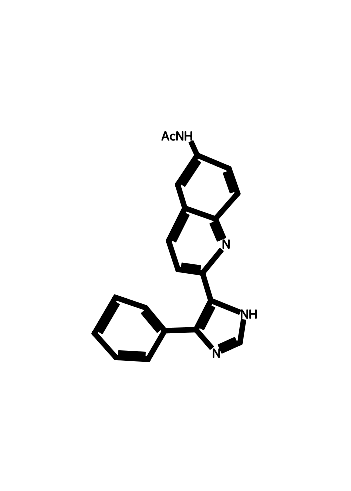 CC(=O)Nc1ccc2nc(-c3[nH]cnc3-c3ccccc3)ccc2c1